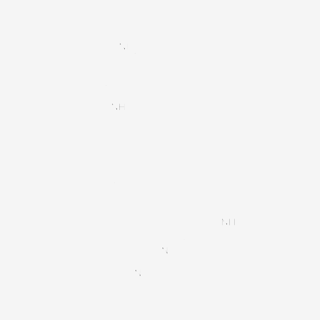 NCCNCc1ccc(-c2ccc3ncn(C4CCNCC4)c3c2)cc1